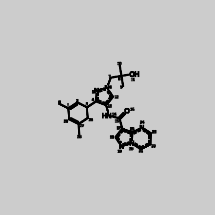 CC1=CC(c2nn(CC(C)(C)O)cc2NC(=O)c2cnn3cccnc23)CC(C)=C1